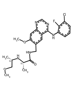 COC[C@H](C)N[C@@H](C)C(=O)NCc1cc2c(Nc3cccc(Cl)c3F)ncnc2cc1OC